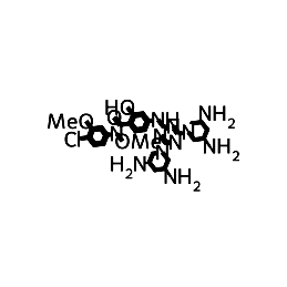 COc1cc(N(OC)C(=O)c2ccc(Nc3nc(N4C[C@H](N)C[C@H](N)C4)nc(N4C[C@H](N)C[C@H](N)C4)n3)cc2O)ccc1Cl